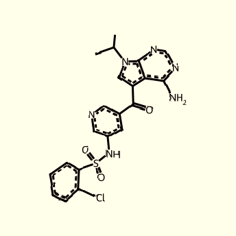 CC(C)n1cc(C(=O)c2cncc(NS(=O)(=O)c3ccccc3Cl)c2)c2c(N)ncnc21